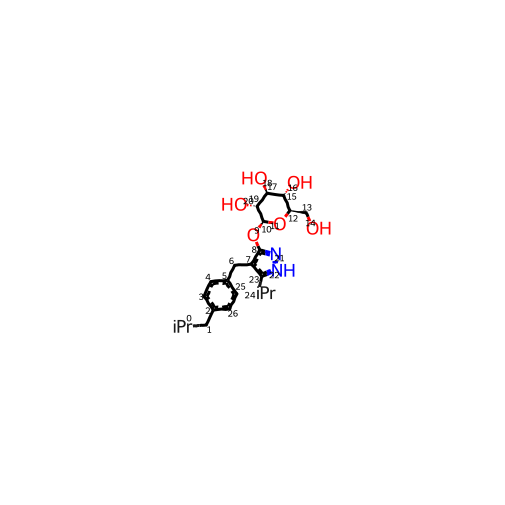 CC(C)Cc1ccc(Cc2c(O[C@@H]3O[C@H](CO)[C@@H](O)[C@H](O)[C@H]3O)n[nH]c2C(C)C)cc1